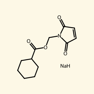 O=C(OCN1C(=O)C=CC1=O)C1CCCCC1.[NaH]